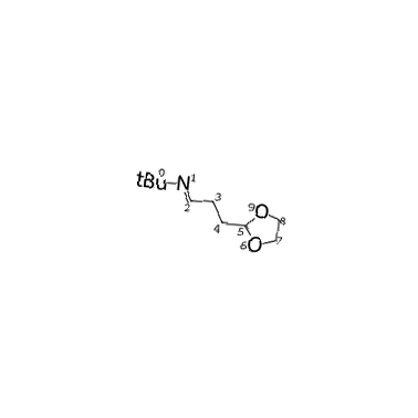 CC(C)(C)N=CCCC1OCCO1